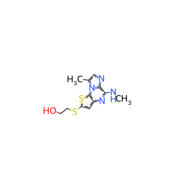 CNc1nc2cc(SCCO)sc2n2c(C)cnc12